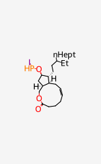 CCCCCCCC(CC)CC[C@@H]1[C@H]2C/C=C\CCCC(=O)OC[C@H]2C[C@H]1OPI